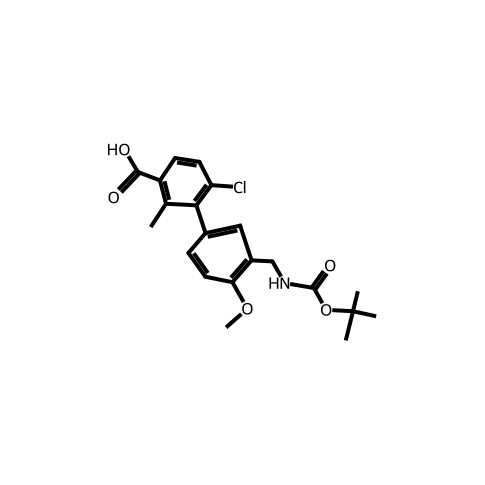 COc1ccc(-c2c(Cl)ccc(C(=O)O)c2C)cc1CNC(=O)OC(C)(C)C